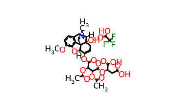 COc1ccc2c3c1O[C@H]1C(OC(=O)C(OC(C)=O)C(OC(C)=O)C(=O)OC(CC(=O)O)C(=O)O)=CC[C@@]4(O)[C@@H](C2)N(C)CC[C@]314.O=C(O)C(F)(F)F